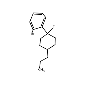 CCCC1CCC(F)(c2ccccc2Br)CC1